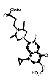 COC(=O)CCN1C(C)CN(c2cc3c(cc2F)c(=O)c(OC(=O)O)cn3C2CC2)CC1C